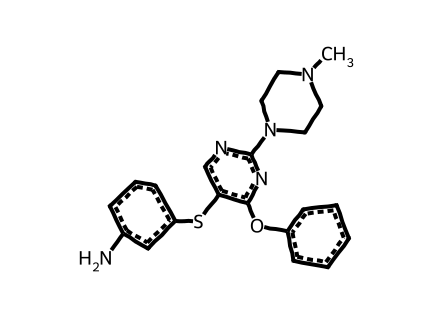 CN1CCN(c2ncc(Sc3cccc(N)c3)c(Oc3ccccc3)n2)CC1